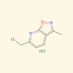 Cc1noc2nc(CCl)ccc12.Cl